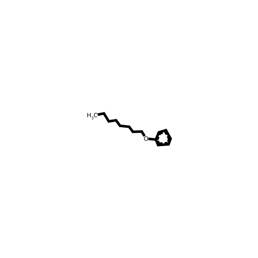 CCCCCCCCOc1ccccc1